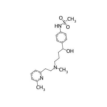 Cc1cccc(CCN(C)CCCC(O)c2ccc(NS(C)(=O)=O)cc2)n1